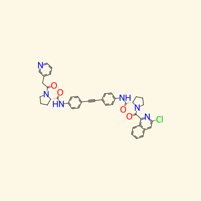 O=C(Nc1ccc(C#Cc2ccc(NC(=O)[C@@H]3CCCN3C(=O)c3nc(Cl)cc4ccccc34)cc2)cc1)[C@@H]1CCCN1C(=O)Cc1cccnc1